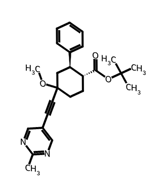 COC1(C#Cc2cnc(C)nc2)CC[C@@H](C(=O)OC(C)(C)C)[C@H](c2ccccc2)C1